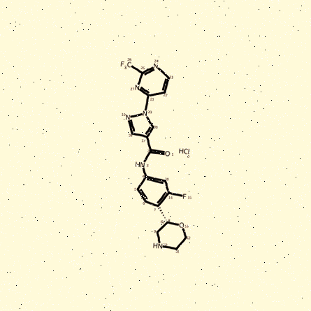 Cl.O=C(Nc1ccc([C@H]2CNCCO2)c(F)c1)c1cnn(-c2ccnc(C(F)(F)F)n2)c1